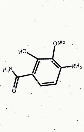 COc1c(N)ccc(C(N)=O)c1O